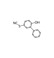 N#CSc1ccc(O)c(-c2ccccc2)c1